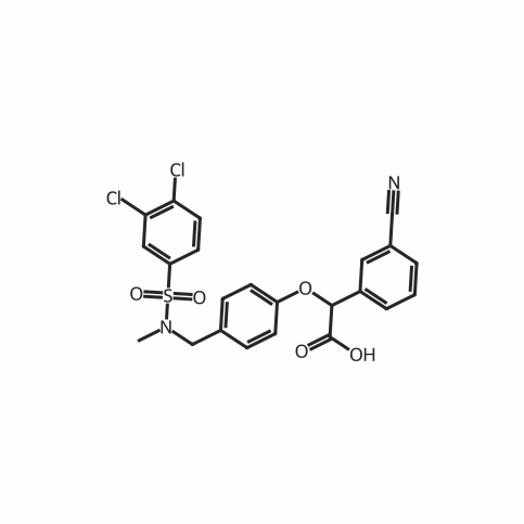 CN(Cc1ccc(OC(C(=O)O)c2cccc(C#N)c2)cc1)S(=O)(=O)c1ccc(Cl)c(Cl)c1